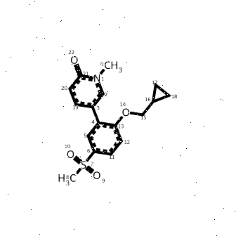 Cn1cc(-c2cc(S(C)(=O)=O)ccc2OCC2CC2)ccc1=O